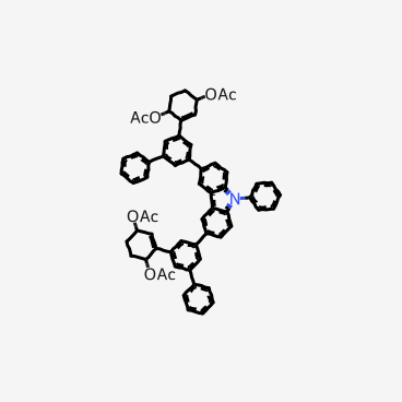 CC(=O)OC1C=C(c2cc(-c3ccccc3)cc(-c3ccc4c(c3)c3cc(-c5cc(C6=CC(OC(C)=O)CCC6OC(C)=O)cc(-c6ccccc6)c5)ccc3n4-c3ccccc3)c2)C(OC(C)=O)CC1